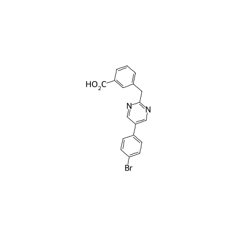 O=C(O)c1cccc(Cc2ncc(-c3ccc(Br)cc3)cn2)c1